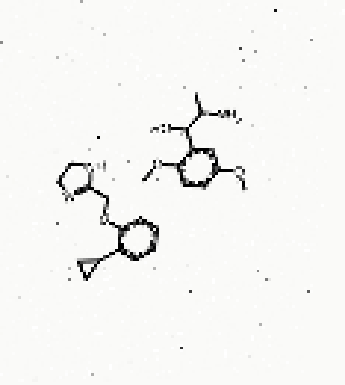 COc1ccc(OC)c(C(O)C(C)N)c1.c1ccc(C2CC2)c(OCC2=NCCN2)c1